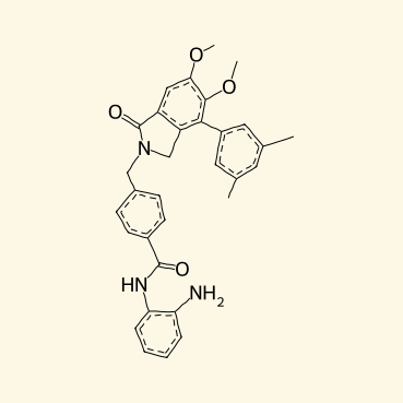 COc1cc2c(c(-c3cc(C)cc(C)c3)c1OC)CN(Cc1ccc(C(=O)Nc3ccccc3N)cc1)C2=O